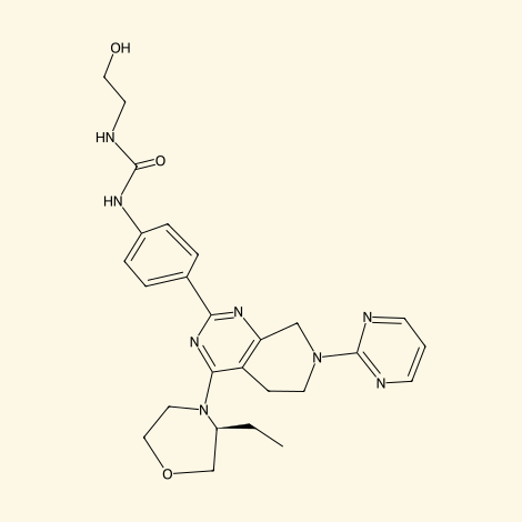 CC[C@H]1COCCN1c1nc(-c2ccc(NC(=O)NCCO)cc2)nc2c1CCN(c1ncccn1)C2